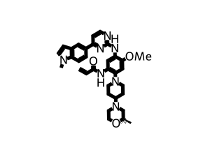 C=CC(=O)Nc1cc(Nc2nccc(-c3ccc4c(ccn4C)c3)n2)c(OC)cc1N1CCC(N2CCO[C@H](C)C2)CC1